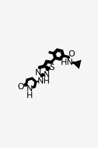 Cc1ccc(C(=O)NC2CC2)cc1-c1cc2cnc(N[C@@H]3CCC(=O)NC3)nc2s1